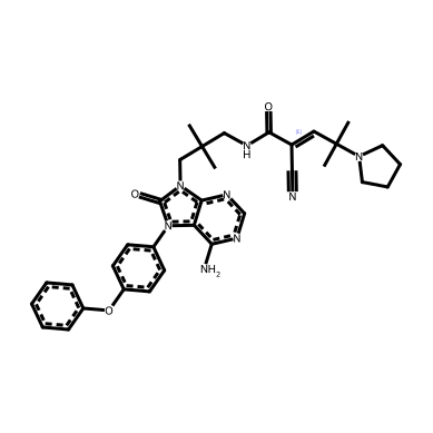 CC(C)(CNC(=O)/C(C#N)=C/C(C)(C)N1CCCC1)Cn1c(=O)n(-c2ccc(Oc3ccccc3)cc2)c2c(N)ncnc21